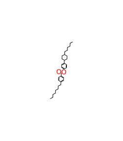 CCCCCCCCc1ccc(C(=O)Oc2ccc(C3CCC(CCCCCC)CC3)cc2)cc1